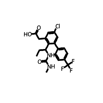 CCC(NC(=O)NC)c1c(CC(=O)O)cc(Cl)cc1-c1ccc(C(F)(F)F)cc1